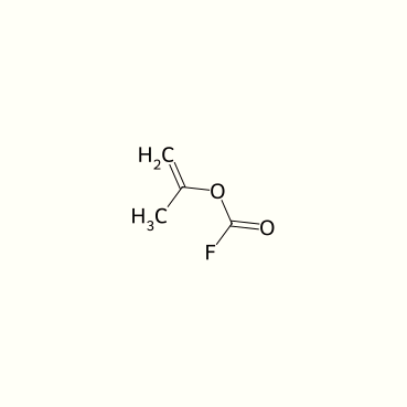 C=C(C)OC(=O)F